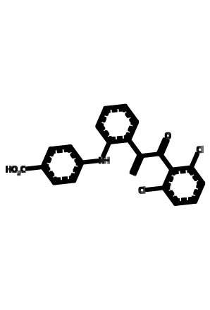 C=C(C(=O)c1c(Cl)cccc1Cl)c1ccccc1Nc1ccc(C(=O)O)cc1